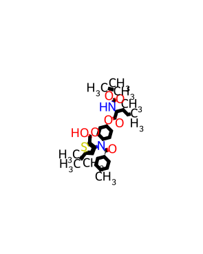 CC[C@@H](C)[C@@H](NC(=O)OC(C)(C)C)C(=O)O[C@H]1CC[C@H](N(c2cc(C(C)(C)C)sc2C(=O)O)C(=O)[C@H]2CC[C@H](C)CC2)CC1